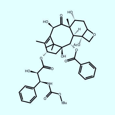 CC(=O)O[C@@]12COC1C[C@@H](O)[C@@]1(C)C(=O)[C@H](O)C3=C(C)[C@@H](OC(=O)[C@H](O)[C@@H](NC(=O)OC(C)(C)C)c4ccccc4)C[C@@](O)([C@@H](OC(=O)c4ccccc4)[C@@H]12)C3(C)C